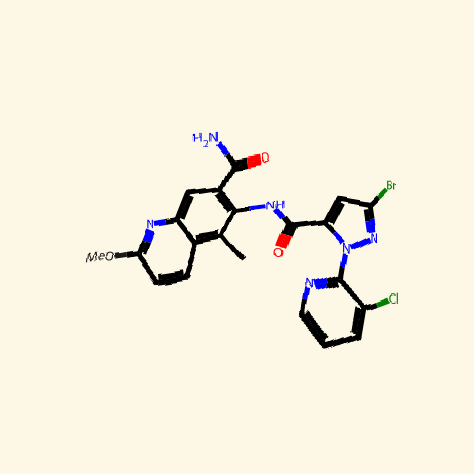 COc1ccc2c(C)c(NC(=O)c3cc(Br)nn3-c3ncccc3Cl)c(C(N)=O)cc2n1